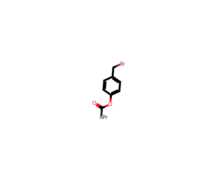 CCCC(=O)Oc1ccc(CBr)cc1